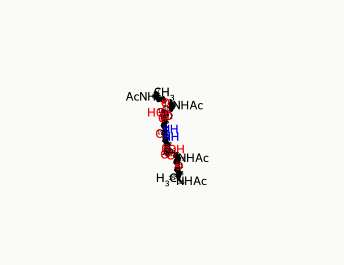 CC(=O)N[C@H](COCC[C@H](C)NC(C)=O)COP(=O)(O)OCCNC(=O)NCCOP(=O)(O)OC[C@@H](COCC[C@H](C)NC(C)=O)NC(C)=O